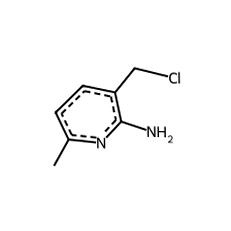 Cc1ccc(CCl)c(N)n1